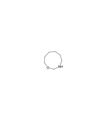 C1CCCOCNCC1